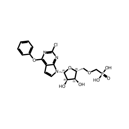 O=P(O)(O)COC[C@H]1O[C@@H](n2ccc3c(Oc4ccccc4)nc(Cl)nc32)[C@H](O)[C@@H]1O